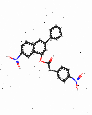 O=C(Cc1ccc([N+](=O)[O-])cc1)Oc1cc(-c2ccccc2)cc2ccc([N+](=O)[O-])cc12